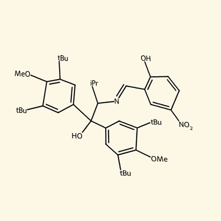 COc1c(C(C)(C)C)cc(C(O)(c2cc(C(C)(C)C)c(OC)c(C(C)(C)C)c2)C(N=Cc2cc([N+](=O)[O-])ccc2O)C(C)C)cc1C(C)(C)C